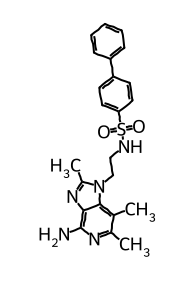 Cc1nc(N)c2nc(C)n(CCNS(=O)(=O)c3ccc(-c4ccccc4)cc3)c2c1C